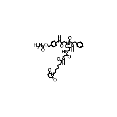 NC(=O)OCc1ccc(NC(=O)CNC(=O)C(Cc2ccccc2)NC(=O)CNC(=O)CNC(=O)CCCCCN2C(=O)CCC2=O)cc1